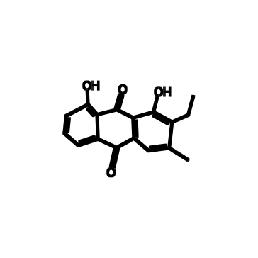 CCc1c(C)cc2c(c1O)C(=O)c1c(O)cccc1C2=O